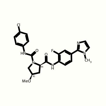 CO[C@@H]1C[C@H](C(=O)Nc2ccc(-c3nccn3C)cc2F)N(C(=O)Nc2ccc(Cl)cc2)C1